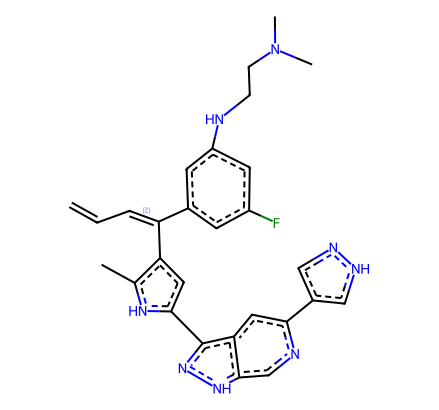 C=C/C=C(/c1cc(F)cc(NCCN(C)C)c1)c1cc(-c2n[nH]c3cnc(-c4cn[nH]c4)cc23)[nH]c1C